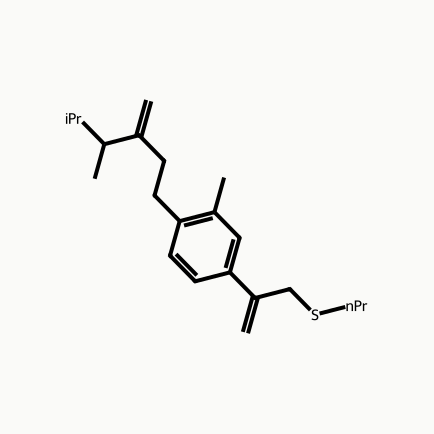 C=C(CSCCC)c1ccc(CCC(=C)C(C)C(C)C)c(C)c1